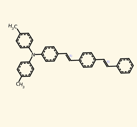 Cc1ccc(N(c2ccc(C)cc2)c2ccc(/C=C/c3ccc(/C=C/c4ccccc4)cc3)cc2)cc1